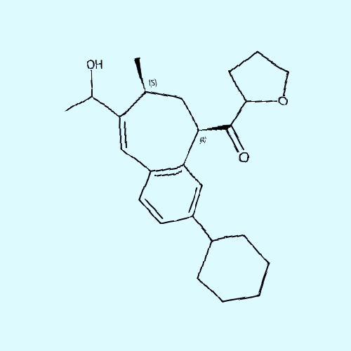 CC(O)C1=Cc2ccc(C3CCCCC3)cc2[C@H](C(=O)C2CCCO2)C[C@@H]1C